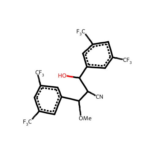 COC(c1cc(C(F)(F)F)cc(C(F)(F)F)c1)C(C#N)C(O)c1cc(C(F)(F)F)cc(C(F)(F)F)c1